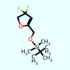 CC(C)(C)[Si](C)(C)OCC1=CC(F)(F)CO1